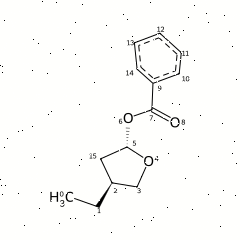 CC[C@@H]1CO[C@@H](OC(=O)c2ccccc2)C1